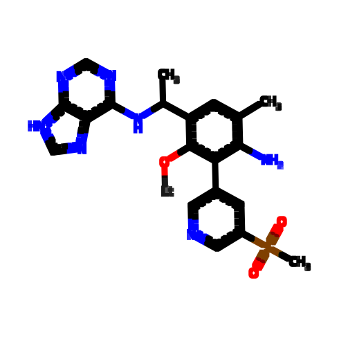 CCOc1c(C(C)Nc2ncnc3[nH]cnc23)cc(C)c(N)c1-c1cncc(S(C)(=O)=O)c1